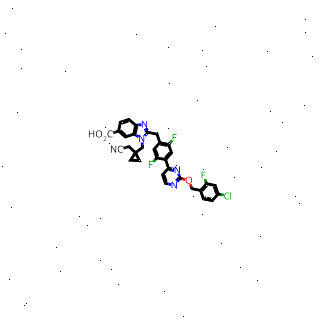 N#CCC1(Cn2c(Cc3cc(F)c(-c4ccnc(OCc5ccc(Cl)cc5F)n4)cc3F)nc3ccc(C(=O)O)cc32)CC1